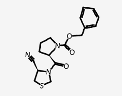 N#C[C@@H]1CSCN1C(=O)[C@H]1CCCN1C(=O)OCc1ccccc1